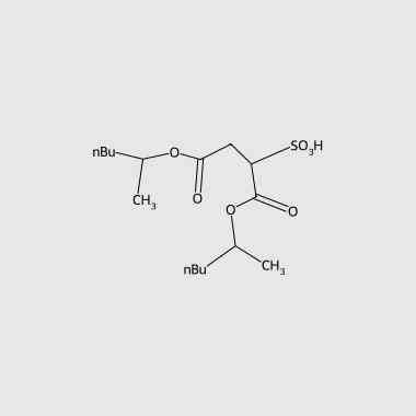 CCCCC(C)OC(=O)CC(C(=O)OC(C)CCCC)S(=O)(=O)O